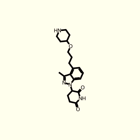 Cc1nn(C2CCC(=O)NC2=O)c2cccc(CCCOC3CCNCC3)c12